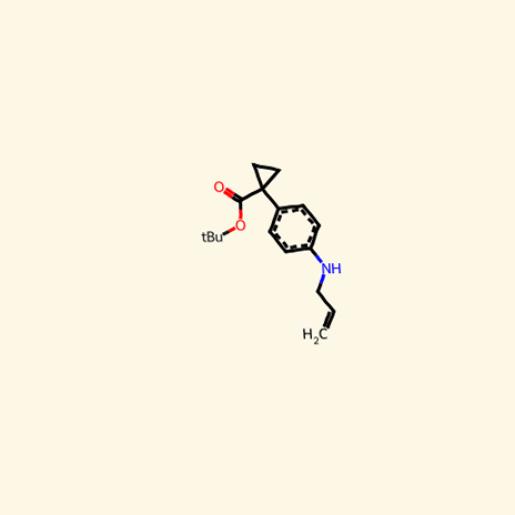 C=CCNc1ccc(C2(C(=O)OC(C)(C)C)CC2)cc1